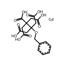 O=C(O)CC(CC(=O)O)(OCc1ccccc1)C(CC(=O)O)(CC(=O)O)C(=O)O.[Gd]